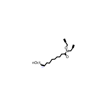 C#CCON(CC#C)C(=O)CCCCCCC/C=C\CCCCCCCC